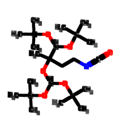 CC(CCN=C=O)(O[SiH](O[Si](C)(C)C)O[Si](C)(C)C)[SiH](O[Si](C)(C)C)O[Si](C)(C)C